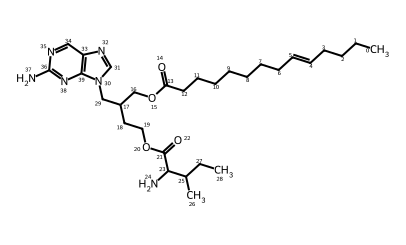 CCCC/C=C/CCCCCCCC(=O)OCC(CCOC(=O)C(N)C(C)CC)Cn1cnc2cnc(N)nc21